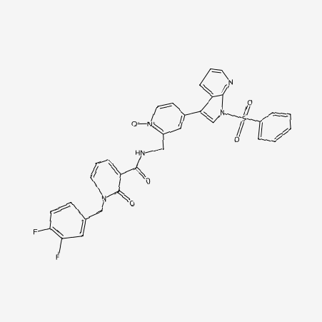 O=C(NCc1cc(-c2cn(S(=O)(=O)c3ccccc3)c3ncccc23)cc[n+]1[O-])c1cccn(Cc2ccc(F)c(F)c2)c1=O